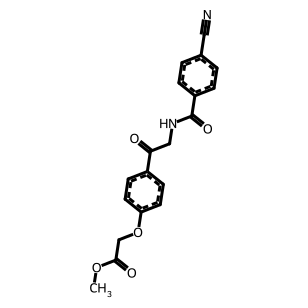 COC(=O)COc1ccc(C(=O)CNC(=O)c2ccc(C#N)cc2)cc1